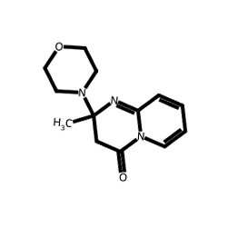 CC1(N2CCOCC2)CC(=O)N2C=CC=CC2=N1